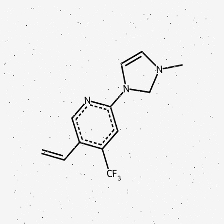 C=Cc1cnc(N2C=CN(C)C2)cc1C(F)(F)F